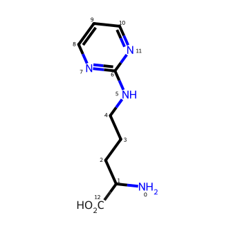 NC(CCCNc1ncccn1)C(=O)O